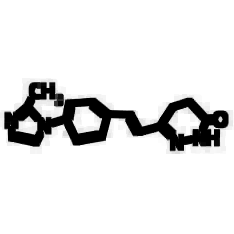 Cc1nccn1-c1ccc(C=CC2=NNC(=O)CC2)cc1